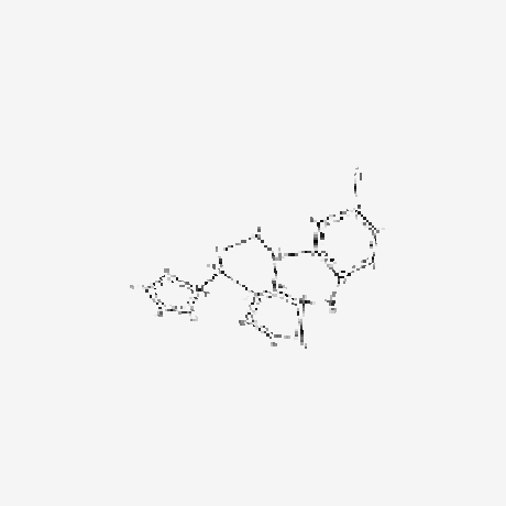 Clc1ccc2c(c1)N1CCC(n3ccnc3)c3cccc(c31)S2